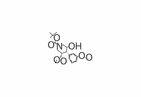 COCOc1cccc([C@H]2[C@H](O)CN(C(=O)OC(C)(C)C)C[C@@H]2C(=O)OC)c1